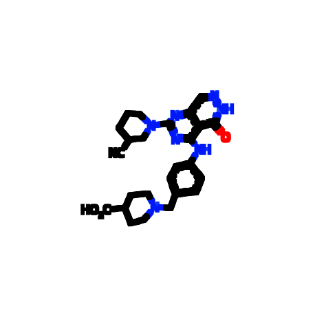 N#CC1CCCN(c2nc(Nc3ccc(CN4CCC(C(=O)O)CC4)cc3)c3c(=O)[nH]ncc3n2)C1